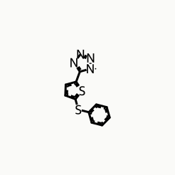 c1ccc(Sc2ccc(C3=NN=N[N]3)s2)cc1